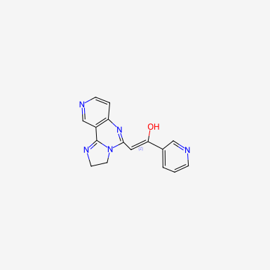 O/C(=C\C1=Nc2ccncc2C2=NCCN12)c1cccnc1